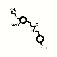 C=CCOc1ccc(CCC(=O)NCc2ccc(C)cc2)cc1OC